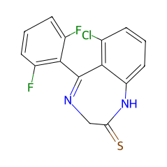 Fc1cccc(F)c1C1=NCC(=S)Nc2cccc(Cl)c21